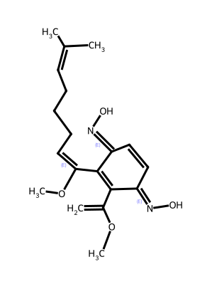 C=C(OC)C1=C(C(=C\CCCC=C(C)C)/OC)/C(=N/O)C=C/C1=N\O